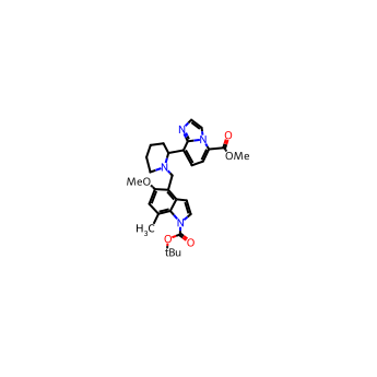 COC(=O)c1ccc(C2CCCCN2Cc2c(OC)cc(C)c3c2ccn3C(=O)OC(C)(C)C)c2nccn12